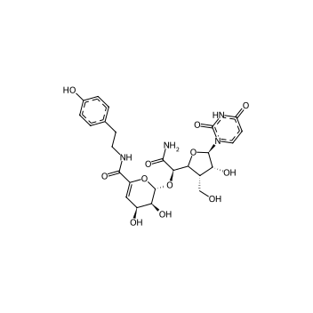 NC(=O)[C@H](O[C@H]1OC(C(=O)NCCc2ccc(O)cc2)=C[C@H](O)[C@@H]1O)C1O[C@@H](n2ccc(=O)[nH]c2=O)[C@H](O)[C@@H]1CO